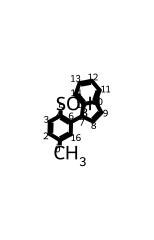 Cc1ccc(S(=O)(=O)O)c(C2C=Cc3ccccc32)c1